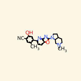 Cc1cc(C#N)c(O)cc1-c1ccc2oc(N3CCC4CCN(C)CC43)nc2n1